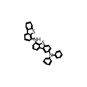 c1ccc(N(c2ccccc2)c2ccc3sc4c(Nc5cccc6c5sc5ccccc56)cccc4c3c2)cc1